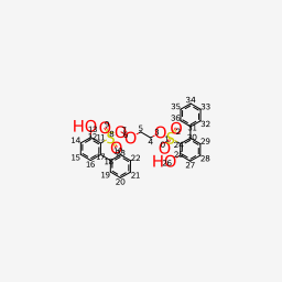 O=S(=O)(OCCOOS(=O)(=O)c1c(O)cccc1-c1ccccc1)c1c(O)cccc1-c1ccccc1